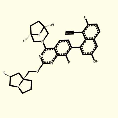 C#Cc1c(F)ccc2cc(O)cc(-c3ccc4c(N5C[C@H]6CC[C@@H](C5)S6)nc(OC[C@@]56CCCN5C[C@H](F)C6)nc4c3F)c12